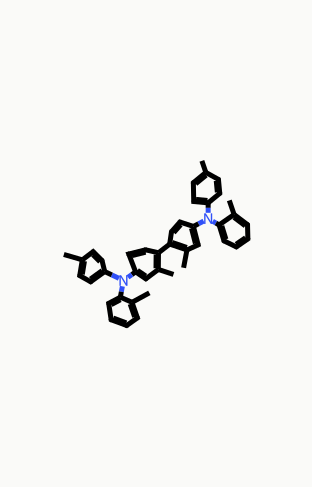 Cc1ccc(N(c2ccc(-c3ccc(N(c4ccc(C)cc4)c4ccccc4C)cc3C)c(C)c2)c2ccccc2C)cc1